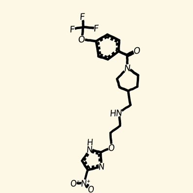 O=C(c1ccc(OC(F)(F)F)cc1)N1CCC(CNCCOc2nc([N+](=O)[O-])c[nH]2)CC1